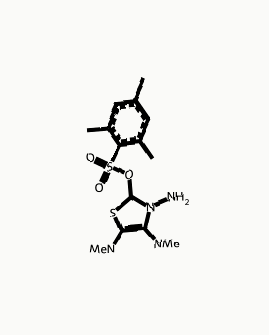 CNC1=C(NC)N(N)C(OS(=O)(=O)c2c(C)cc(C)cc2C)S1